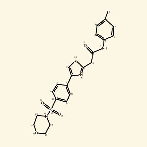 Cc1ccc(NC(=O)Cc2nc(-c3ccc(S(=O)(=O)N4CCOCC4)cc3)cs2)cc1